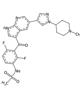 CN1CCC(n2cc(-c3cnc4[nH]cc(C(=O)c5c(F)ccc(NS(C)(=O)=O)c5F)c4c3)cn2)CC1